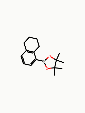 CC1(C)OB(c2cccc3c2CCCC3)OC1(C)C